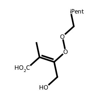 CCCC(C)COOC(CO)=C(C)C(=O)O